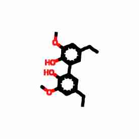 CCc1cc(OC)c(O)c(-c2cc(CC)cc(OC)c2O)c1